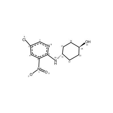 O=[N+]([O-])c1cc(Cl)cnc1N[C@H]1CC[C@H](O)CC1